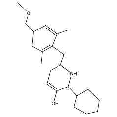 COCC1C=C(C)C(CC2CC=C(O)C(C3CCCCC3)N2)=C(C)C1